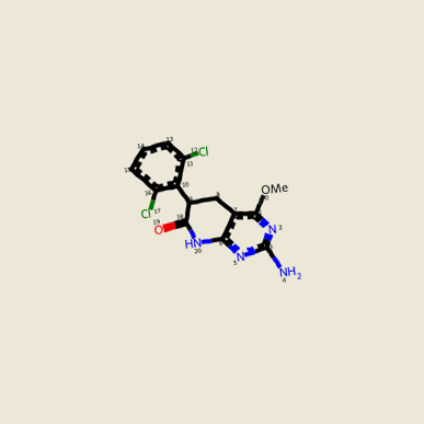 COc1nc(N)nc2c1CC(c1c(Cl)cccc1Cl)C(=O)N2